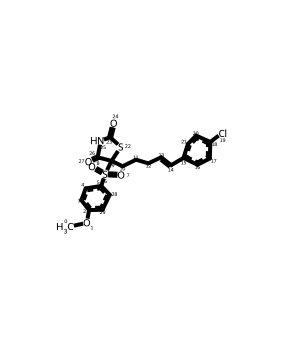 COc1ccc(S(=O)(=O)C2(CCC/C=C/c3ccc(Cl)cc3)SC(=O)NC2=O)cc1